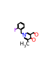 Cc1cn(Cc2ccccc2I)cc(C=O)c1=O